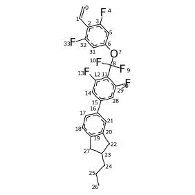 C=Cc1c(F)cc(OC(F)(F)c2c(F)cc(-c3ccc4c(c3)CC(CCC)C4)cc2F)cc1F